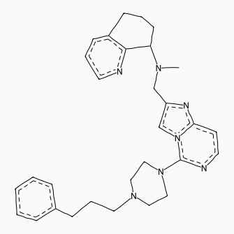 CN(Cc1cn2c(N3CCN(CCCc4ccccc4)CC3)nccc2n1)C1CCCc2cccnc21